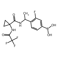 CC(NC(=O)C1(NC(=O)C(F)(F)F)CC1)c1ccc(B(O)O)cc1F